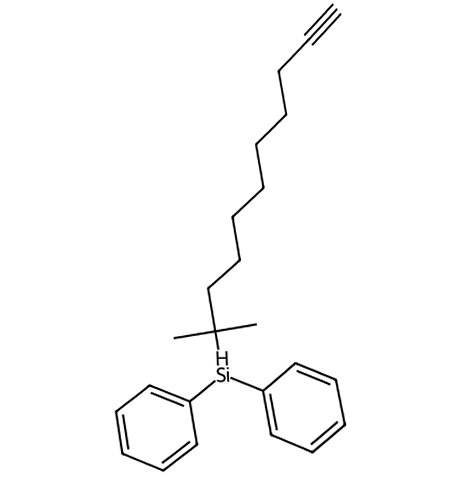 C#CCCCCCCCC(C)(C)[SiH](c1ccccc1)c1ccccc1